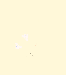 CC(=O)Oc1nccnc1Oc1cccc(F)c1